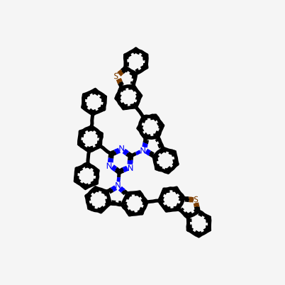 c1ccc(-c2ccc(-c3ccccc3)c(-c3nc(-n4c5ccccc5c5ccc(-c6ccc7sc8ccccc8c7c6)cc54)nc(-n4c5ccccc5c5ccc(-c6ccc7sc8ccccc8c7c6)cc54)n3)c2)cc1